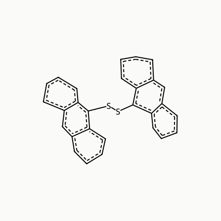 c1ccc2c(SSc3c4ccccc4cc4ccccc34)c3ccccc3cc2c1